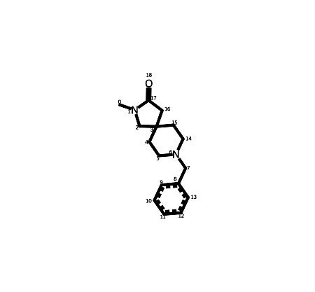 CN1CC2(CCN(Cc3ccccc3)CC2)CC1=O